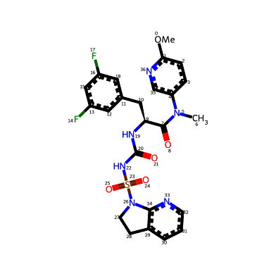 COc1ccc(N(C)C(=O)[C@H](Cc2cc(F)cc(F)c2)NC(=O)NS(=O)(=O)N2CCc3cccnc32)cn1